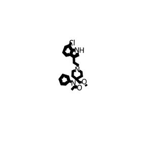 COCC1(N(C(C)=O)c2ccccc2)CCN(CCc2c[nH]c3c(Cl)cccc23)CC1